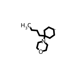 CCCCC1(N2CCOCC2)CC[CH]CC1